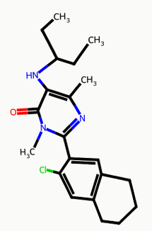 CCC(CC)Nc1c(C)nc(-c2cc3c(cc2Cl)CCCC3)n(C)c1=O